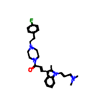 Cc1c(/C=C/C(=O)N2CCN(CCc3ccc(F)cc3)CC2)c2ccccc2n1CCCN(C)C